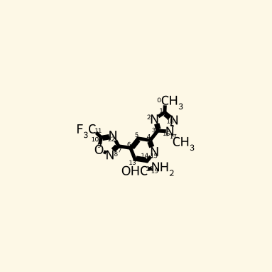 Cc1nc(-c2cc(-c3noc(C(F)(F)F)n3)ccn2)n(C)n1.NC=O